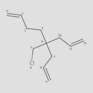 C=CCCC(CCl)(CC=C)CC=C